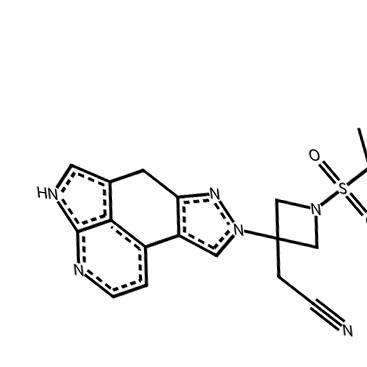 CCS(=O)(=O)N1CC(CC#N)(n2cc3c(n2)Cc2c[nH]c4nccc-3c24)C1